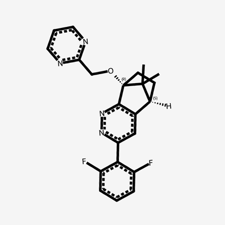 CC1(C)[C@H]2CC[C@]1(OCc1ncccn1)c1nnc(-c3c(F)cccc3F)cc12